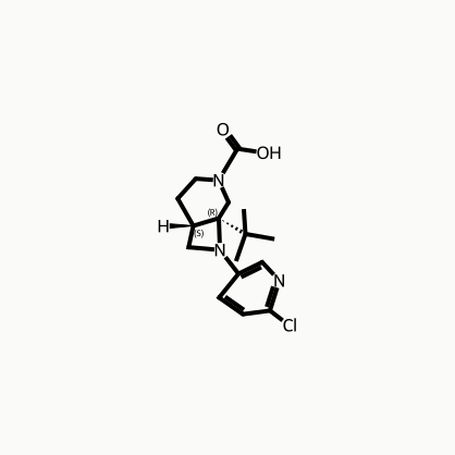 CC(C)(C)[C@@]12CN(C(=O)O)CC[C@H]1CN2c1ccc(Cl)nc1